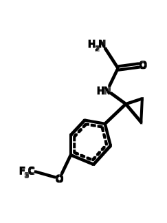 NC(=O)NC1(c2ccc(OC(F)(F)F)cc2)CC1